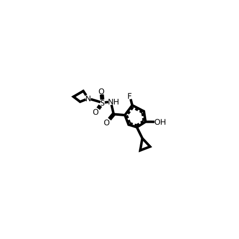 O=C(NS(=O)(=O)N1CCC1)c1cc(C2CC2)c(O)cc1F